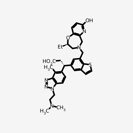 CC[C@@H]1CN(Cc2cc([C@@H](CC(=O)O)c3ccc4c(nnn4CCN(C)C)c3C)cc3ccsc23)Cc2nc(O)ccc2O1